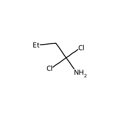 CCCC(N)(Cl)Cl